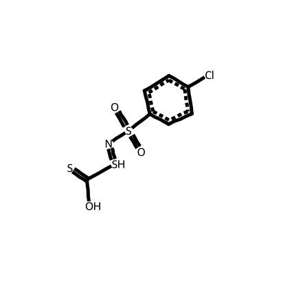 O=S(=O)(N=[SH]C(O)=S)c1ccc(Cl)cc1